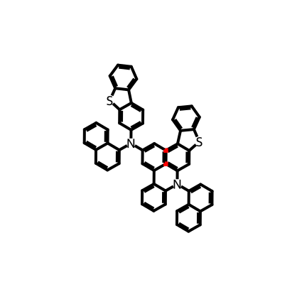 c1cc(-c2ccccc2N(c2ccc3c(c2)sc2ccccc23)c2cccc3ccccc23)cc(N(c2ccc3c(c2)sc2ccccc23)c2cccc3ccccc23)c1